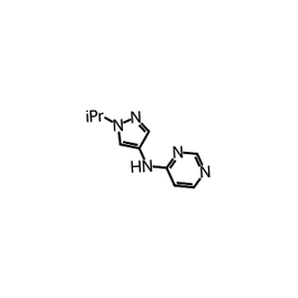 CC(C)n1cc(Nc2ccncn2)cn1